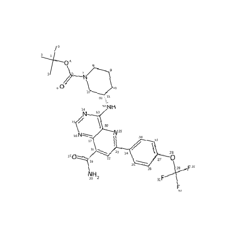 CC(C)(C)OC(=O)N1CCC[C@H](Nc2ncnc3c(C(N)=O)cc(-c4ccc(OC(F)(F)F)cc4)nc23)C1